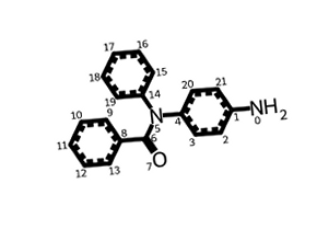 Nc1ccc(N(C(=O)c2ccccc2)c2ccccc2)cc1